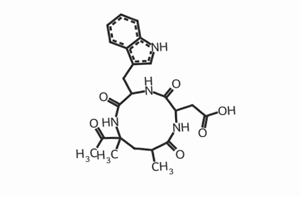 CC(=O)C1(C)CC(C)C(=O)NC(CC(=O)O)C(=O)NC(Cc2c[nH]c3ccccc23)C(=O)N1